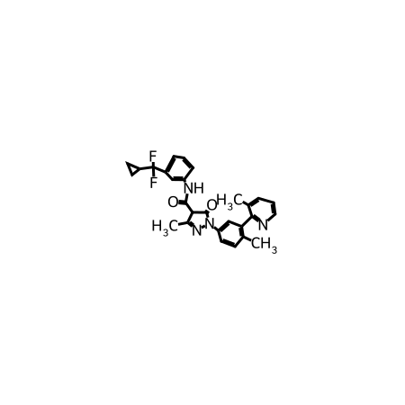 CC1=NN(c2ccc(C)c(-c3ncccc3C)c2)C(=O)C1C(=O)Nc1cccc(C(F)(F)C2CC2)c1